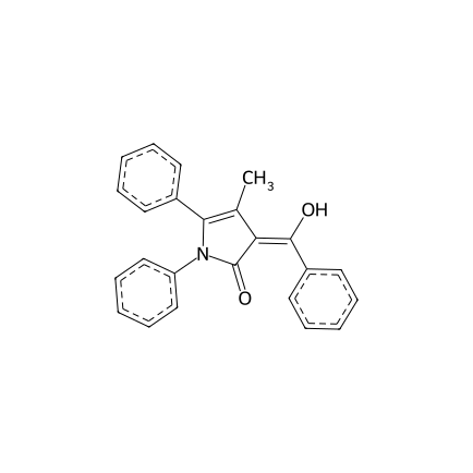 CC1=C(c2ccccc2)N(c2ccccc2)C(=O)/C1=C(/O)c1ccccc1